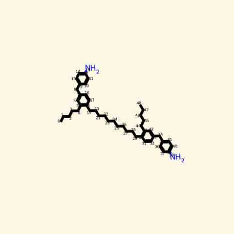 CCCCCc1cc(Cc2ccc(N)cc2)ccc1CCCCCCCCCCCc1ccc(Cc2ccc(N)cc2)cc1CCCCC